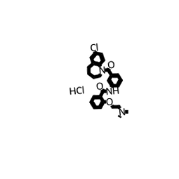 CN(C)CCOc1ccccc1C(=O)Nc1cccc(C(=O)N2CCCCc3cc(Cl)ccc32)c1.Cl